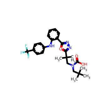 CC(C)(C)CN(CC(C)(C)c1nnc(-c2ccccc2Nc2ccc(C(F)(F)F)cc2)o1)C(=O)O